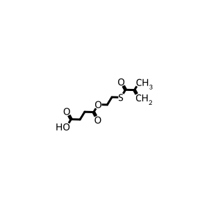 C=C(C)C(=O)SCCOC(=O)CCC(=O)O